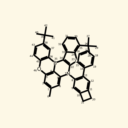 Cc1cc2c3c(c1)N(c1cc4c(cc1-c1ccccc1)CC4)c1oc4c(C(C)(C)C)cccc4c1B3c1cc(C(C)(C)C)ccc1O2